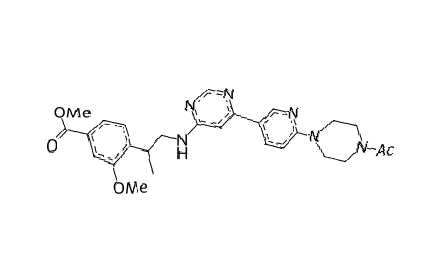 COC(=O)c1ccc(C(C)CNc2cc(-c3ccc(N4CCN(C(C)=O)CC4)nc3)ncn2)c(OC)c1